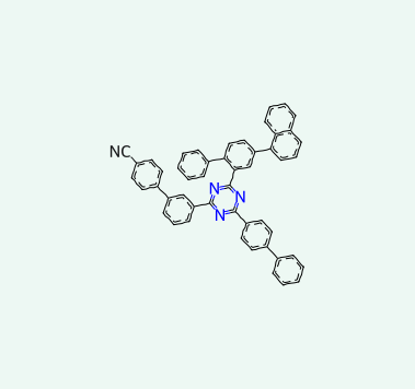 N#Cc1ccc(-c2cccc(-c3nc(-c4ccc(-c5ccccc5)cc4)nc(-c4cc(-c5cccc6ccccc56)ccc4-c4ccccc4)n3)c2)cc1